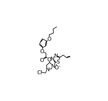 C=CCc1nnc([N+]2([O-])CN(CCl)CC2OC(=O)COc2cccc(OCCCC)c2)s1